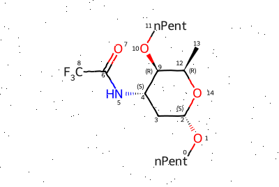 CCCCCO[C@@H]1C[C@H](NC(=O)C(F)(F)F)[C@@H](OCCCCC)[C@@H](C)O1